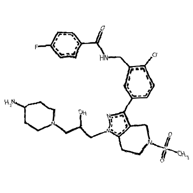 CS(=O)(=O)N1CCc2c(c(-c3ccc(Cl)c(CNC(=O)c4ccc(F)cc4)c3)nn2CC(O)CN2CCC(N)CC2)C1